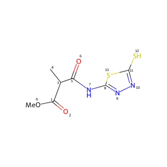 COC(=O)C(C)C(=O)Nc1nnc(S)s1